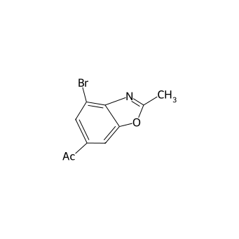 CC(=O)c1cc(Br)c2nc(C)oc2c1